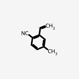 C=[C]c1cc(C)ccc1C#N